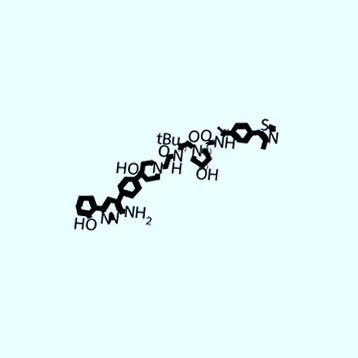 Cc1ncsc1-c1ccc([C@H](C)NC(=O)[C@@H]2C[C@@H](O)CN2C(=O)[C@@H](NC(=O)CN2CCC(O)(c3ccc(-c4cc(-c5ccccc5O)nnc4N)cc3)CC2)C(C)(C)C)cc1